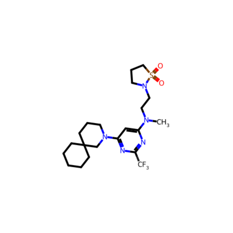 CN(CCN1CCCS1(=O)=O)c1cc(N2CCCC3(CCCCC3)C2)nc(C(F)(F)F)n1